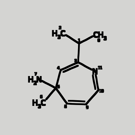 CC(C)C1=CC(C)(N)C=CC=N1